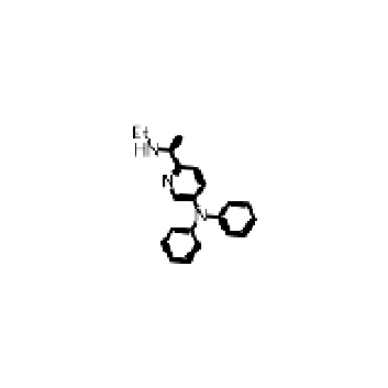 C=C(NCC)c1ccc(N(c2ccccc2)c2ccccc2)cn1